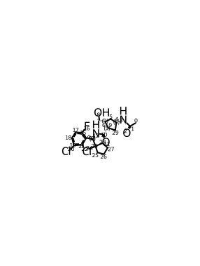 CC(=O)N[C@H]1C[C@@H](CO)[C@@H](C(=O)N[C@H](c2c(F)ccc(Cl)c2Cl)C2(C)CCCC2)C1